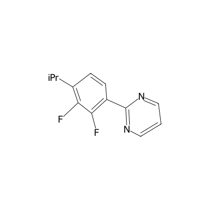 CC(C)c1ccc(-c2ncccn2)c(F)c1F